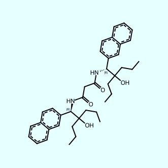 CCCC(O)(CCC)[C@H](NC(=O)CC(=O)N[C@H](c1ccc2ccccc2c1)C(O)(CCC)CCC)c1ccc2ccccc2c1